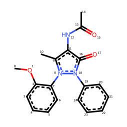 COc1ccccc1-n1c(C)c(NC(C)=O)c(=O)n1-c1ccccc1